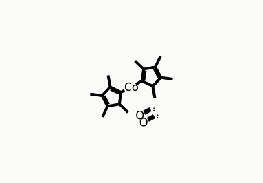 CC1=C(C)C(C)[C]([Co][C]2=C(C)C(C)=C(C)C2C)=C1C.[C]=O.[C]=O